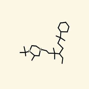 CCC(CCC(C)(C)C1CCCCC1)C(C)(C)CCN1CCN(C(C)(C)C)C(C)C1